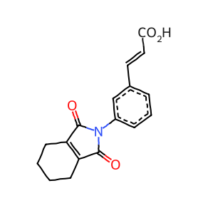 O=C(O)/C=C/c1cccc(N2C(=O)C3=C(CCCC3)C2=O)c1